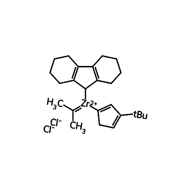 C[C](C)=[Zr+2]([C]1=CC(C(C)(C)C)=CC1)[CH]1C2=C(CCCC2)C2=C1CCCC2.[Cl-].[Cl-]